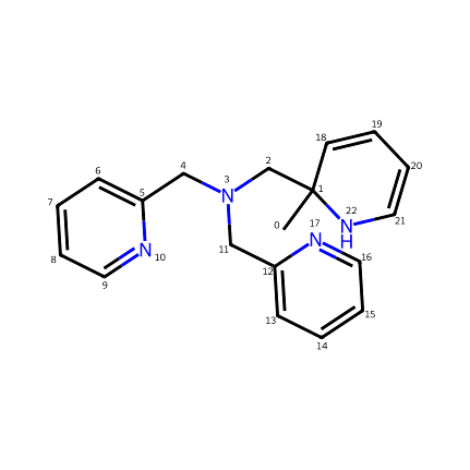 CC1(CN(Cc2ccccn2)Cc2ccccn2)C=CC=CN1